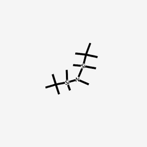 CN([Si](C)(C)C(C)(C)C)[Si](C)(C)C(C)(C)C